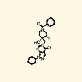 O=C(c1ccccc1)N1CC[C@@](O)(Cn2cnc3c(cnn3-c3ccccc3)c2=O)[C@H](F)C1